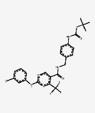 CC(C)(C)OC(=O)Nc1ccc(CNC(=O)c2cnc(Nc3cccc(Cl)c3)nc2C(F)(F)F)cc1